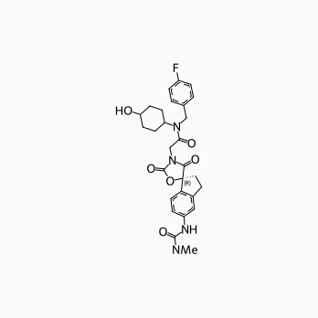 CNC(=O)Nc1ccc2c(c1)CC[C@@]21OC(=O)N(CC(=O)N(Cc2ccc(F)cc2)C2CCC(O)CC2)C1=O